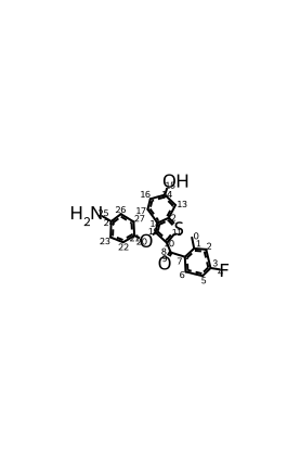 Cc1cc(F)ccc1C(=O)c1sc2cc(O)ccc2c1Oc1ccc(N)cc1